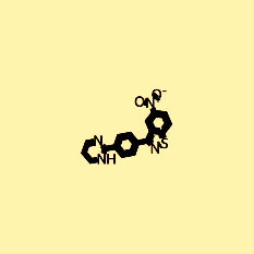 O=[N+]([O-])c1ccc2snc(-c3ccc(C4N=CCCN4)cc3)c2c1